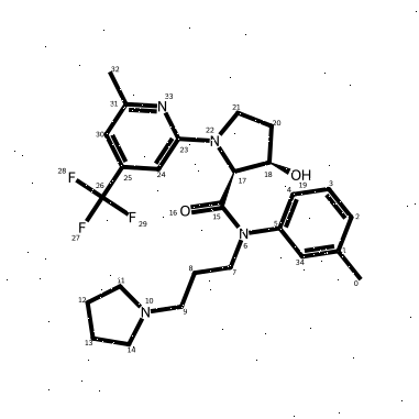 Cc1cccc(N(CCCN2CCCC2)C(=O)[C@@H]2[C@H](O)CCN2c2cc(C(F)(F)F)cc(C)n2)c1